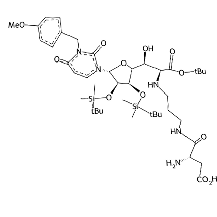 COc1ccc(Cn2c(=O)ccn([C@@H]3OC([C@@H](O)[C@H](NCCCNC(=O)[C@@H](N)CC(=O)O)C(=O)OC(C)(C)C)[C@@H](O[Si](C)(C)C(C)(C)C)[C@H]3O[Si](C)(C)C(C)(C)C)c2=O)cc1